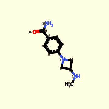 CNC1CN(c2ccc(C(N)=O)cc2)C1